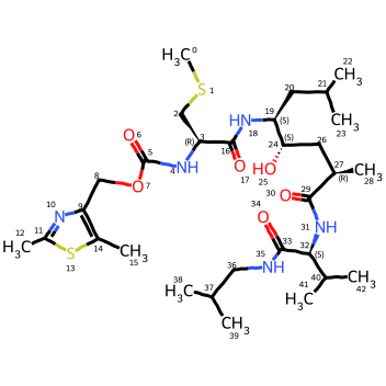 CSC[C@H](NC(=O)OCc1nc(C)sc1C)C(=O)N[C@@H](CC(C)C)[C@@H](O)C[C@@H](C)C(=O)N[C@H](C(=O)NCC(C)C)C(C)C